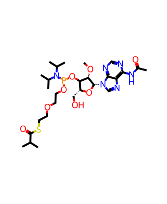 CO[C@H]1C(OP(OCCOCCSC(=O)C(C)C)N(C(C)C)C(C)C)[C@@H](CO)O[C@H]1n1cnc2c(NC(C)=O)ncnc21